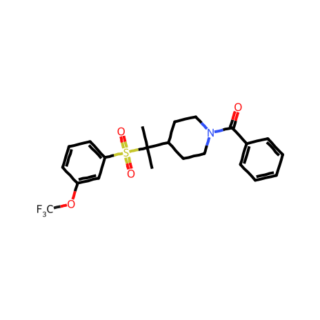 CC(C)(C1CCN(C(=O)c2ccccc2)CC1)S(=O)(=O)c1cccc(OC(F)(F)F)c1